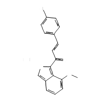 COc1cccc2coc(C(=O)C=Cc3ccc(Cl)cc3)c12.Cl